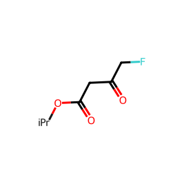 CC(C)OC(=O)CC(=O)CF